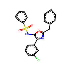 O=S(=O)(Nc1oc(Cc2ccccc2)nc1-c1cccc(Cl)c1)c1ccccc1